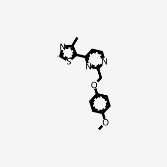 COc1ccc(OCc2nccc(-c3s[c]nc3C)n2)cc1